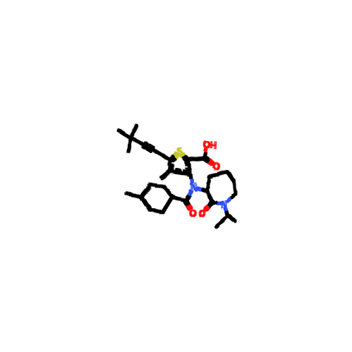 Cc1c(C#CC(C)(C)C)sc(C(=O)O)c1N(C(=O)C1CCC(C)CC1)C1CCCCN(C(C)C)C1=O